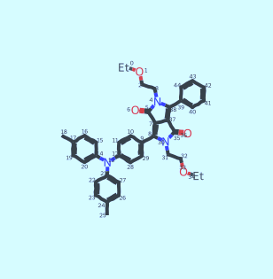 CCOCCN1C(=O)C2=C(c3ccc(N(c4ccc(C)cc4)c4ccc(C)cc4)cc3)N(CCOCC)C(=O)C2=C1c1ccccc1